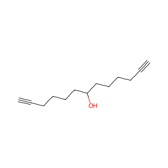 C#CCCCCC(O)CCCCC#C